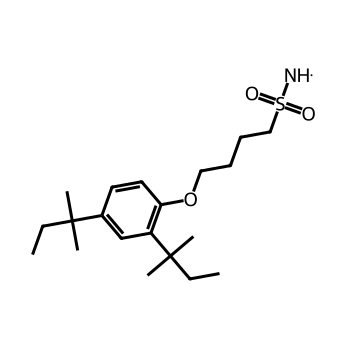 CCC(C)(C)c1ccc(OCCCCS([NH])(=O)=O)c(C(C)(C)CC)c1